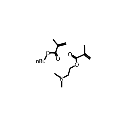 C=C(C)C(=O)OCCCC.C=C(C)C(=O)OCCN(C)C